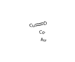 [Au].[Co].[O]=[Cu]